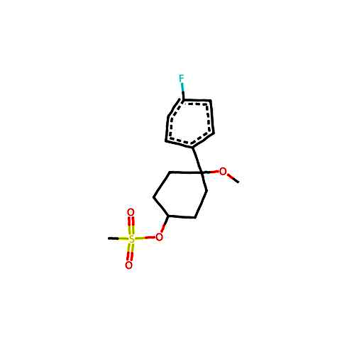 COC1(c2ccc(F)cc2)CCC(OS(C)(=O)=O)CC1